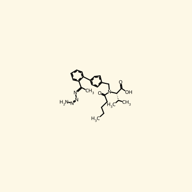 CCCCC(=O)N(Cc1ccc(-c2ccccc2/C(C)=N/N=N\N)cc1)[C@H](C(=O)O)C(C)C